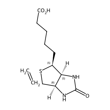 C=C.O=C(O)CCCC[C@@H]1SC[C@@H]2NC(=O)N[C@@H]21